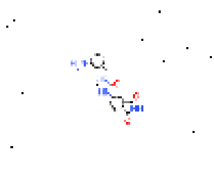 Nc1cccc(CNC(=O)Nc2ccc3c(c2)C(=O)NC3=O)c1